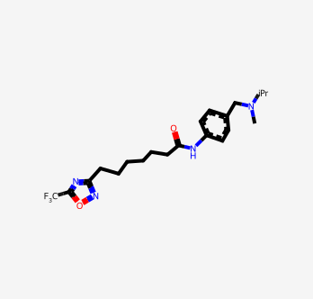 CC(C)N(C)Cc1ccc(NC(=O)CCCCCCc2noc(C(F)(F)F)n2)cc1